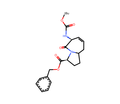 CC(C)(C)OC(=O)N[C@H]1C=CCC2CC[C@@H](C(=O)OCc3ccccc3)N2C1=O